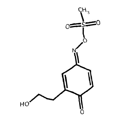 CS(=O)(=O)ON=C1C=CC(=O)C(CCO)=C1